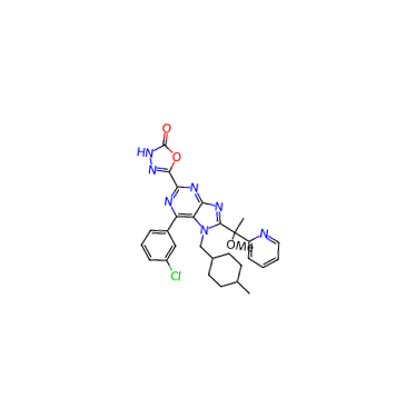 COC(C)(c1ccccn1)c1nc2nc(-c3n[nH]c(=O)o3)nc(-c3cccc(Cl)c3)c2n1CC1CCC(C)CC1